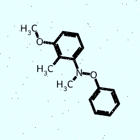 COc1cccc(N(C)Oc2ccccc2)c1C